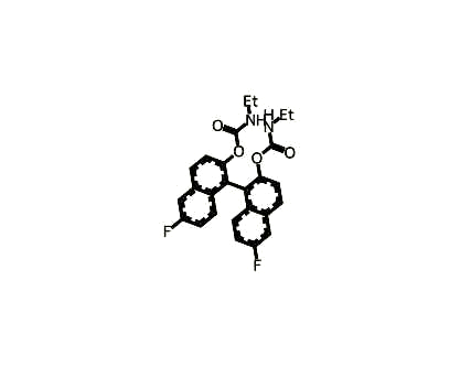 [CH2]CNC(=O)Oc1ccc2cc(F)ccc2c1-c1c(OC(=O)NC[CH2])ccc2cc(F)ccc12